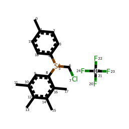 Cc1ccc([S+](CCl)c2cc(C)c(C)c(C)c2C)cc1.F[B-](F)(F)F